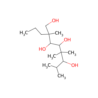 CCCC(C)(CO)C(O)C(O)C(C)(C)C(O)C(C)C